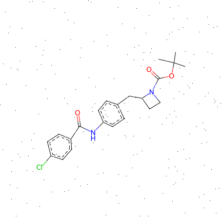 CC(C)(C)OC(=O)N1CCC1Cc1ccc(NC(=O)c2ccc(Cl)cc2)cc1